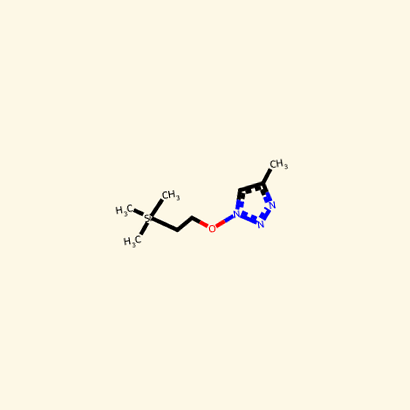 Cc1cn(OCC[Si](C)(C)C)nn1